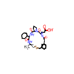 C[C@@H]1CSCc2cccc(c2)CC(=O)NC(CCC(=O)O)C(=O)N2CCCC2C(=O)NC(C2CCCCC2)C(=O)N1